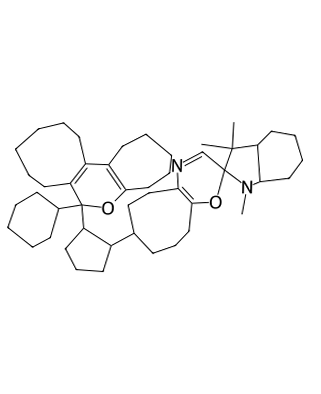 CN1C2CCCCC2C(C)(C)C12C=NC1=C(CCCC(C3CCCC3C3(C4CCCCC4)OC4=C(CCCCC4)C4=C3CCCCCC4)CC1)O2